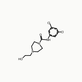 O=C(Nc1cc(Cl)cc(Cl)c1)N1CCN(CCO)CC1